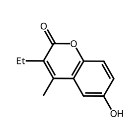 CCc1c(C)c2cc(O)ccc2oc1=O